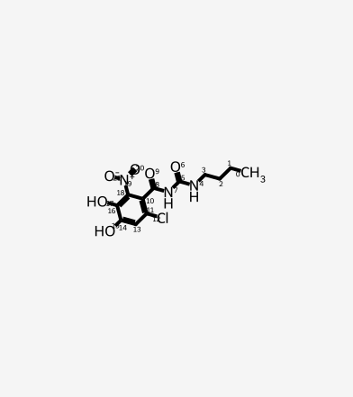 CCCCNC(=O)NC(=O)c1c(Cl)cc(O)c(O)c1[N+](=O)[O-]